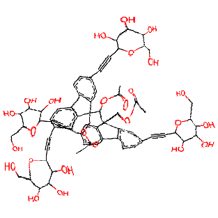 CC(=O)OCC1(C(OC(C)=O)C2(COC(C)=O)c3cc(C#CC4OC(CO)C(O)C(O)C4O)ccc3-c3ccc(C#CC4OC(CO)C(O)C(O)C4O)cc32)c2cc(C#CC3OC(CO)C(O)C(O)C3O)ccc2-c2ccc(C#CC3OC(CO)C(O)C(O)C3O)cc21